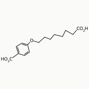 O=C(O)CCCCCCCOc1ccc(C(=O)O)cc1